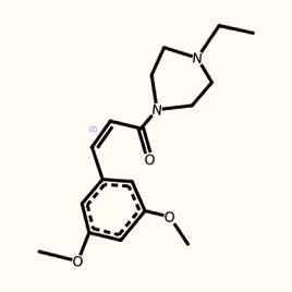 CCN1CCN(C(=O)/C=C\c2cc(OC)cc(OC)c2)CC1